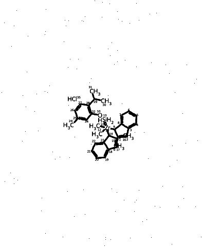 CC1=Cc2ccccc2[CH]1[Zr]([CH3])([CH3])(=[SiH2])[CH]1C(C)=Cc2ccccc21.Cc1ccc(C(C)C)c(O)c1.Cl